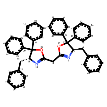 c1ccc(C[C@H]2N=C(CC3=N[C@H](Cc4ccccc4)C(c4ccccc4)(c4ccccc4)O3)OC2(c2ccccc2)c2ccccc2)cc1